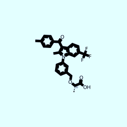 Cc1ccc(C(=O)c2c(C)n(-c3cccc(CO[C@@H](C)C(=O)O)c3)c3cc(C(F)(F)F)ccc23)cc1